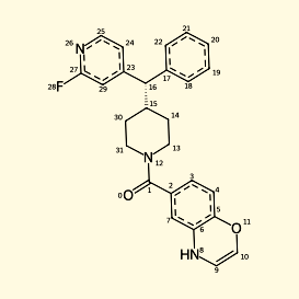 O=C(c1ccc2c(c1)NC=CO2)N1CCC([C@@H](c2ccccc2)c2ccnc(F)c2)CC1